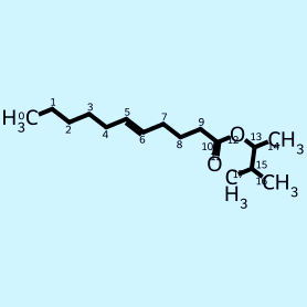 CCCCC/C=C/CCCC(=O)OC(C)C(C)C